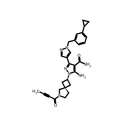 CC#CC(=O)N1CC[C@]2(C1)C[C@H](n1nc(-c3cnn(Cc4cccc(C5CC5)c4)c3)c(C(N)=O)c1N)C2